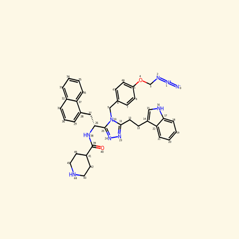 [N-]=[N+]=NCOc1ccc(Cn2c(CCc3c[nH]c4ccccc34)nnc2[C@@H](Cc2cccc3ccccc23)NC(=O)C2CCNCC2)cc1